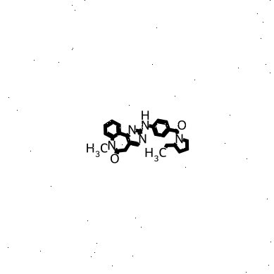 CCC1CCCN1C(=O)c1ccc(Nc2ncc3c(n2)-c2ccccc2N(C)C(=O)C3)cc1